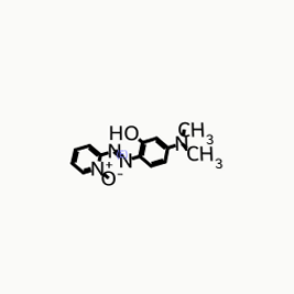 CN(C)c1ccc(/N=N/c2cccc[n+]2[O-])c(O)c1